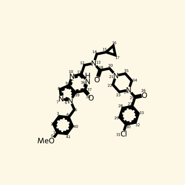 COc1ccc(Cn2ncc3nc(CN(CC4CC4)C(=O)CN4CCN(C(=O)c5ccc(Cl)cc5)CC4)[nH]c(=O)c32)cc1